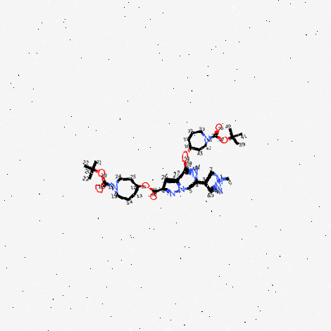 Cn1cc(-c2cn3nc(C(=O)OC4CCCN(C(=O)OC(C)(C)C)CC4)cc3c(OC3CCCN(C(=O)OC(C)(C)C)CC3)n2)cn1